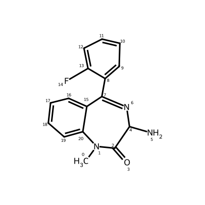 CN1C(=O)C(N)N=C(c2ccccc2F)c2ccccc21